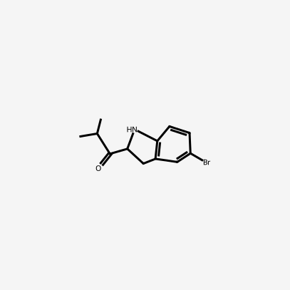 CC(C)C(=O)C1Cc2cc(Br)ccc2N1